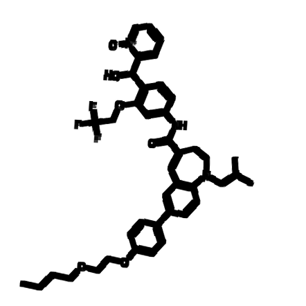 CCCCOCCOc1ccc(-c2ccc3c(c2)C=C(C(=O)Nc2ccc(C(O)c4cccc[n+]4[O-])c(OCC(F)(F)F)c2)CCN3CC(C)C)cc1